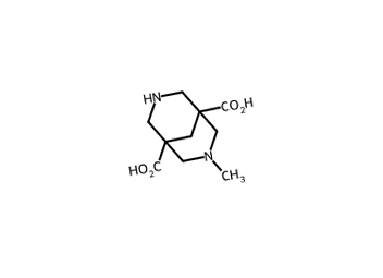 CN1CC2(C(=O)O)CNCC(C(=O)O)(C1)C2